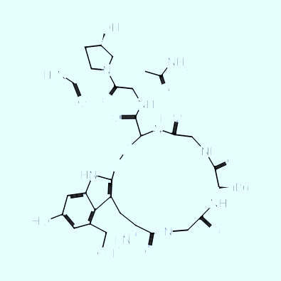 CC[C@H](C)[C@@H]1NC(=O)CNC(=O)[C@H](N)Cc2c([nH]c3cc(O)cc(CO)c23)SCC(C(=O)N[C@@H](CC(N)=O)C(=O)N2C[C@H](O)C[C@H]2C(N)=O)NC(=O)CNC1=O